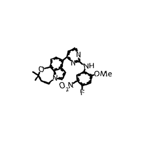 COc1cc(F)c([N+](=O)[O-])cc1Nc1nccc(-c2ccc3c4c2ccn4CCC(C)(C)O3)n1